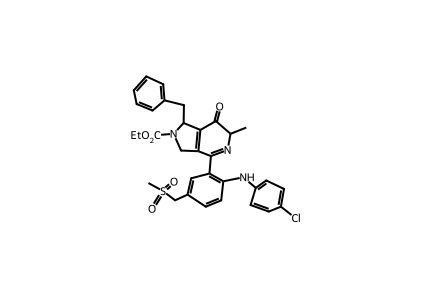 CCOC(=O)N1CC2=C(C(=O)C(C)N=C2c2cc(CS(C)(=O)=O)ccc2Nc2ccc(Cl)cc2)C1Cc1ccccc1